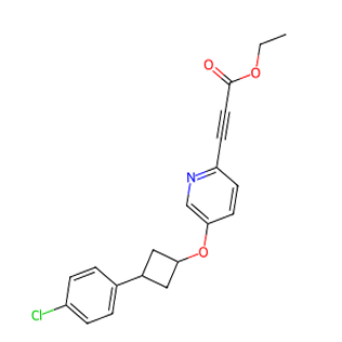 CCOC(=O)C#Cc1ccc(OC2CC(c3ccc(Cl)cc3)C2)cn1